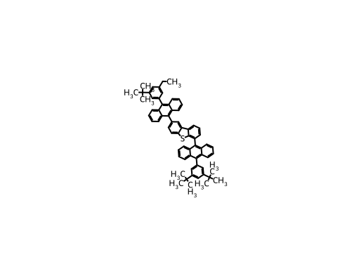 CCc1cc(-c2c3ccccc3c(-c3ccc4sc5c(-c6c7ccccc7c(-c7cc(C(C)(C)C)cc(C(C)(C)C)c7)c7ccccc67)cccc5c4c3)c3ccccc23)cc(C(C)(C)C)c1